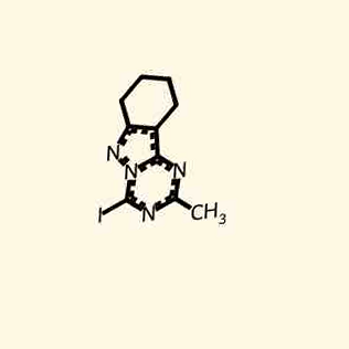 Cc1nc(I)n2nc3c(c2n1)CCCC3